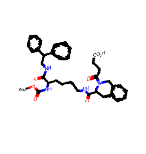 CC(C)(C)OC(=O)NC(CCCCNC(=O)C1Cc2ccccc2CN1C(=O)CCC(=O)O)C(=O)NCC(c1ccccc1)c1ccccc1